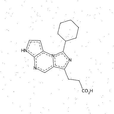 O=C(O)CCc1nc(C2CCCCC2)n2c1cnc1[nH]ccc12